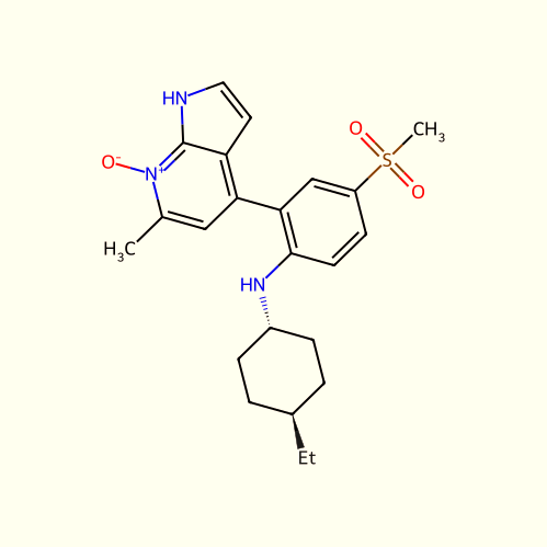 CC[C@H]1CC[C@H](Nc2ccc(S(C)(=O)=O)cc2-c2cc(C)[n+]([O-])c3[nH]ccc23)CC1